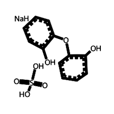 O=S(=O)(O)O.Oc1ccccc1Oc1ccccc1O.[NaH]